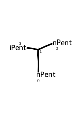 CCCCC[C](CCCCC)C(C)CCC